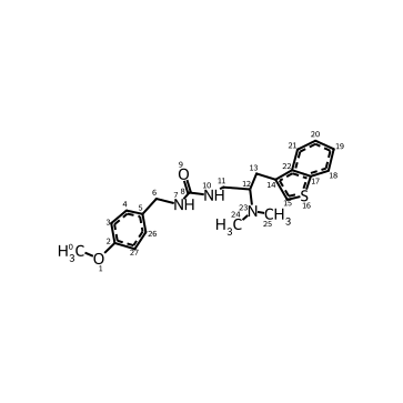 COc1ccc(CNC(=O)NCC(Cc2csc3ccccc23)N(C)C)cc1